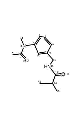 CC(=O)N(C)c1cccc(CNC(=O)C(C)C)c1